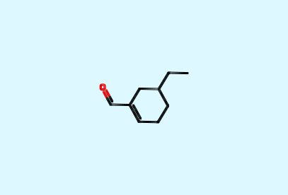 CCC1CCC=C(C=O)C1